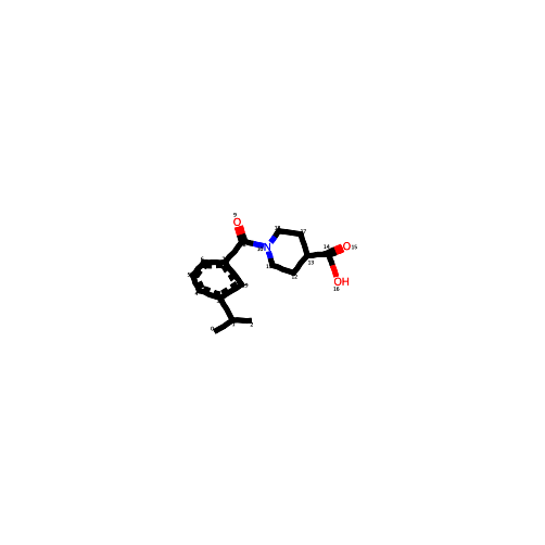 CC(C)c1cccc(C(=O)N2CCC(C(=O)O)CC2)c1